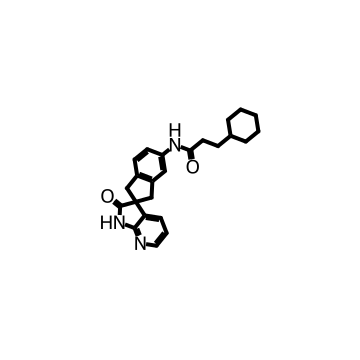 O=C(CCC1CCCCC1)Nc1ccc2c(c1)CC1(C2)C(=O)Nc2ncccc21